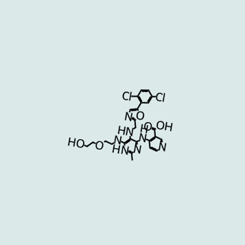 Cc1nc(NCCOCCO)c(NCc2ncc(-c3cc(Cl)ccc3Cl)o2)c(Nc2ccncc2C(=O)O)n1